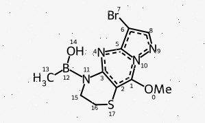 COc1c2c(nc3c(Br)cnn13)N(B(C)O)CCS2